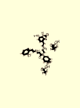 O=C(CCNCCc1ccccc1Cl)N(CCNCCc1ccc(O)c2[nH]c(=O)sc12)C1CCC(F)(F)CC1.O=C(O)C(F)(F)F.O=C(O)C(F)(F)F